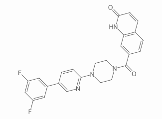 O=C(c1ccc2ccc(=O)[nH]c2c1)N1CCN(c2ccc(-c3cc(F)cc(F)c3)cn2)CC1